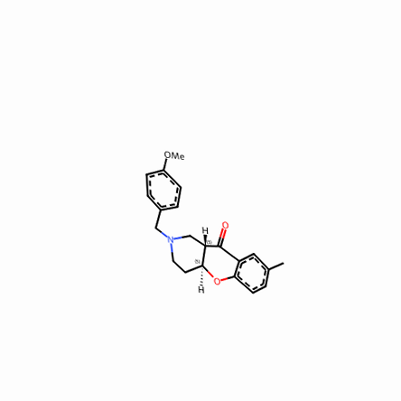 COc1ccc(CN2CC[C@@H]3Oc4ccc(C)cc4C(=O)[C@H]3C2)cc1